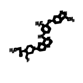 C=CC(=O)N1CCN(c2ccc3ncnc(Nc4ccc(Oc5ccc6c(c5)nnn6C)c(C)c4)c3n2)CC1CF